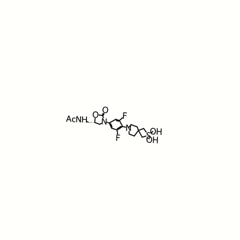 CC(=O)NC[C@H]1CN(c2cc(F)c(N3CCC4(CC3)CS(O)(O)C4)c(F)c2)C(=O)O1